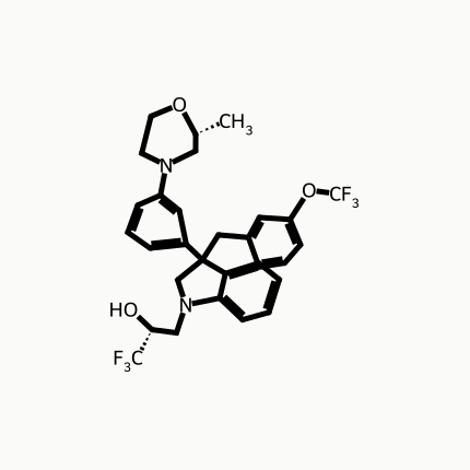 C[C@@H]1CN(c2cccc(C3(Cc4cccc(OC(F)(F)F)c4)CN(C[C@@H](O)C(F)(F)F)c4ccccc43)c2)CCO1